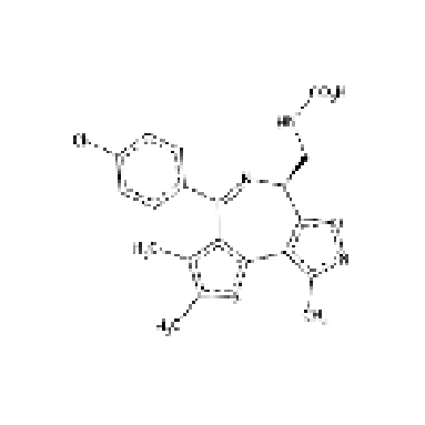 Cc1noc2c1-c1sc(C)c(C)c1C(c1ccc(Cl)cc1)=N[C@H]2CNC(=O)O